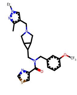 CCn1cc(CN2CC3C(C2)C3CN(Cc2cccc(OC(F)(F)F)c2)C(=O)c2cscn2)c(C)n1